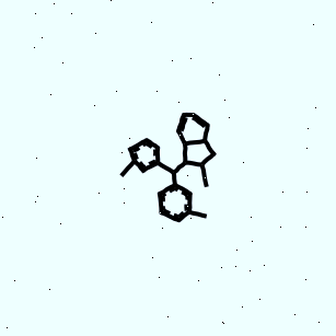 Cc1cccc(C(c2cccc(C)c2)C2C(C)CC3C=CC=CC32)c1